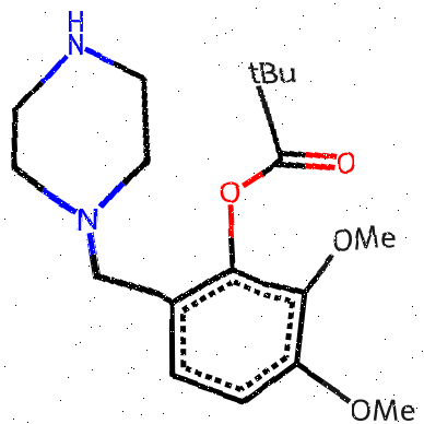 COc1ccc(CN2CCNCC2)c(OC(=O)C(C)(C)C)c1OC